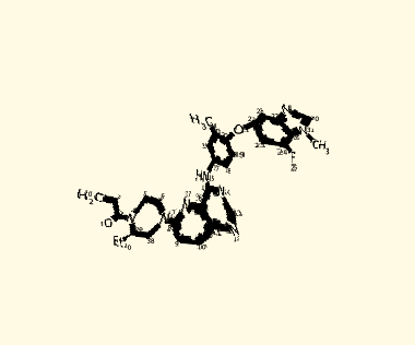 C=CC(=O)N1CCN(c2ccc3ncnc(Nc4ccc(Oc5cc(F)c6c(c5)ncn6C)c(C)c4)c3n2)C[C@H]1CC